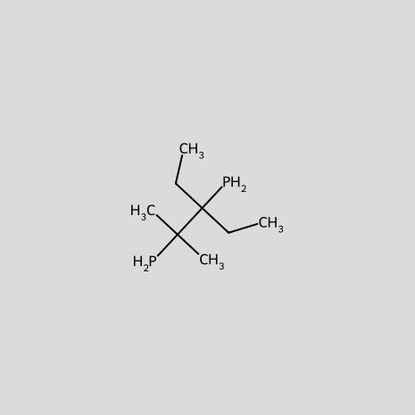 CCC(P)(CC)C(C)(C)P